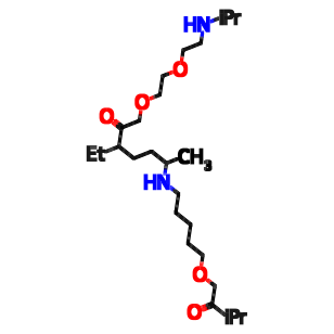 CCC(CCC(C)NCCCCCOCC(=O)C(C)C)C(=O)COCCOCCNC(C)C